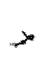 CCCCCCc1cc2c(cc1C#Cc1cnc(CCCCC(=O)O)cn1)C(C)(C)CC(C)(C)O2